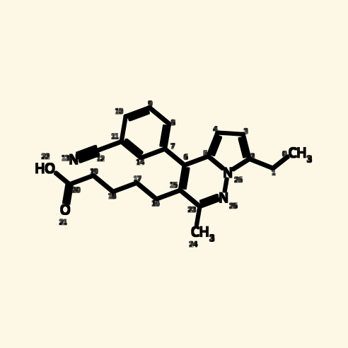 CCc1ccc2c(-c3cccc(C#N)c3)c(CCCCC(=O)O)c(C)nn12